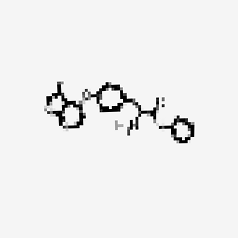 Cc1c[nH]c2nccc(Oc3ccc(C[C@H](N)C(=O)Nc4ccccc4)cc3)c12